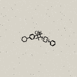 CC1(C)C(N2CCN(c3ccccc3)CC2)C(C)(C)C1(O)c1ccc(C2CCCCC2)cc1